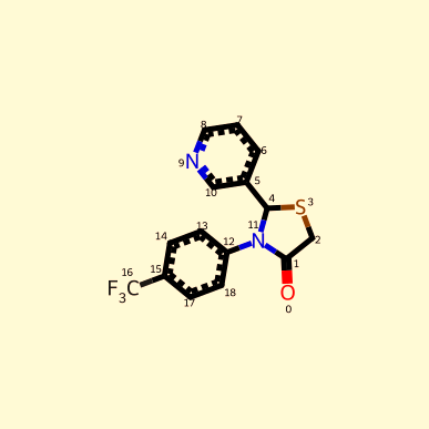 O=C1CSC(c2cccnc2)N1c1ccc(C(F)(F)F)cc1